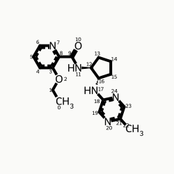 CCOc1cccnc1C(=O)N[C@H]1CCC[C@@H]1Nc1cnc(C)cn1